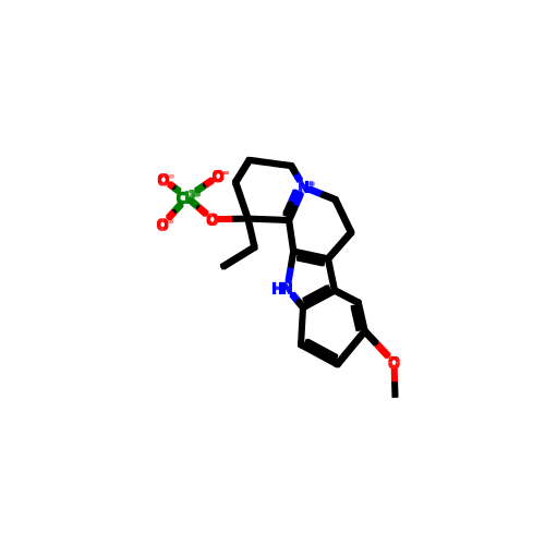 CCC1(O[Cl+3]([O-])([O-])[O-])CCC[N+]2=C1c1[nH]c3ccc(OC)cc3c1CC2